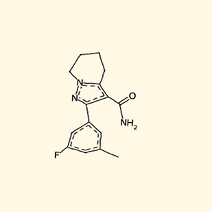 Cc1cc(F)cc(-c2nn3c(c2C(N)=O)CCCC3)c1